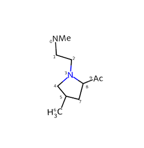 CNCCN1CC(C)CC1C(C)=O